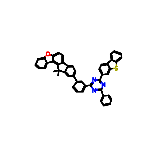 CC1(C)c2cc(-c3cccc(-c4nc(-c5ccccc5)nc(-c5ccc6c(c5)sc5ccccc56)n4)c3)ccc2-c2ccc3oc4ccccc4c3c21